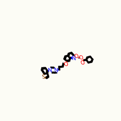 O=C(OCOc1ccc2ccc(OCCCCN3CCN(c4cccc5sccc45)CC3)cc2n1)C1CCCCC1